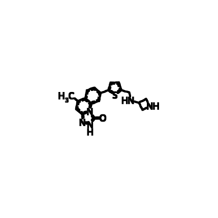 Cc1cc2n[nH]c(=O)n2c2cc(-c3ccc(CNC4CNC4)s3)ccc12